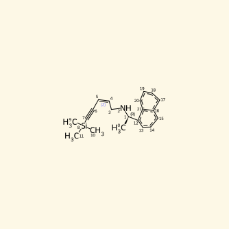 C[C@@H](NC/C=C\C#C[Si](C)(C)C)c1cccc2ccccc12